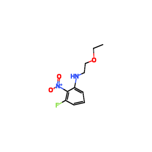 CCOCCNc1cccc(F)c1[N+](=O)[O-]